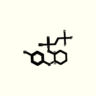 O=[SH](O)(CCC(F)(F)F)O[C@H]1CCCC[C@@H]1Oc1ccc(Cl)cc1